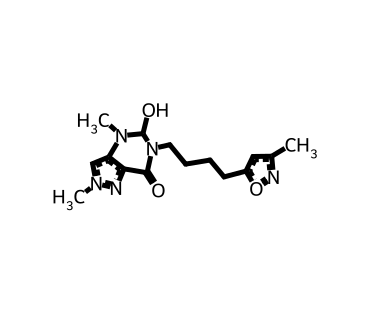 Cc1cc(CCCCN2C(=O)c3nn(C)cc3N(C)C2O)on1